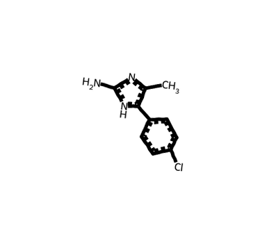 Cc1nc(N)[nH]c1-c1ccc(Cl)cc1